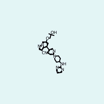 CC(C)(O)COc1cc(-c2ccc(N3CCC(Nc4ncccn4)CC3)nc2)c2c(C#N)cnn2c1